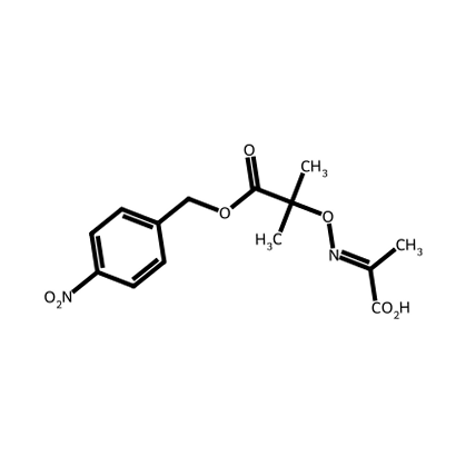 CC(=NOC(C)(C)C(=O)OCc1ccc([N+](=O)[O-])cc1)C(=O)O